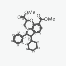 COC(=O)c1ccc2c3c1OC(C(=O)OC)CN3C(c1ccccc1)C2C1CCCCC1